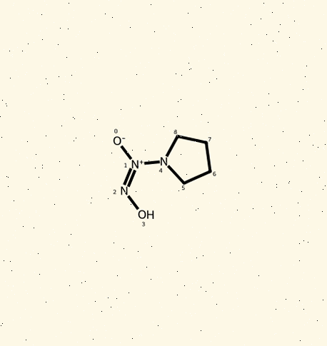 [O-]/[N+](=N/O)N1CCCC1